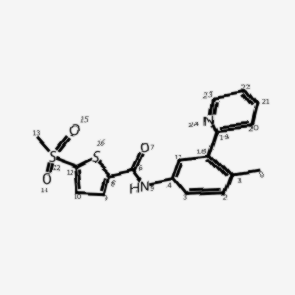 Cc1ccc(NC(=O)c2ccc(S(C)(=O)=O)s2)cc1-c1ccccn1